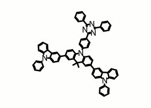 CC1(C)c2cc(-c3ccc4c(c3)c3ccccc3n4-c3ccccc3)ccc2N(c2ccc(-c3nc(-c4ccccc4)nc(-c4ccccc4)n3)cc2)c2ccc(-c3ccc4c(c3)c3ccccc3n4-c3ccccc3)cc21